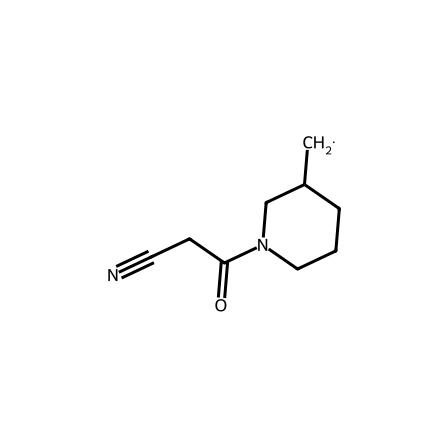 [CH2]C1CCCN(C(=O)CC#N)C1